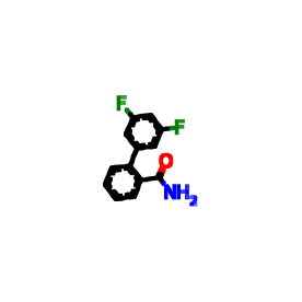 NC(=O)c1ccccc1-c1cc(F)cc(F)c1